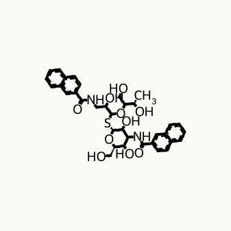 C[C@@H](O)C(CO)OC(S[C@@H]1O[C@H](CO)C(O)C(NC(=O)c2ccc3ccccc3c2)C1O)C(O)CNC(=O)c1ccc2ccccc2c1